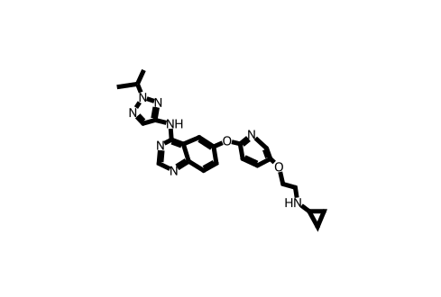 CC(C)n1ncc(Nc2ncnc3ccc(Oc4ccc(OCCNC5CC5)cn4)cc23)n1